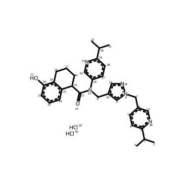 CC(C)c1ccc(Cn2cc(CN(C(=O)C3CCCc4c(O)cccc43)c3ccc(C(C)C)nc3)cn2)cn1.Cl.Cl